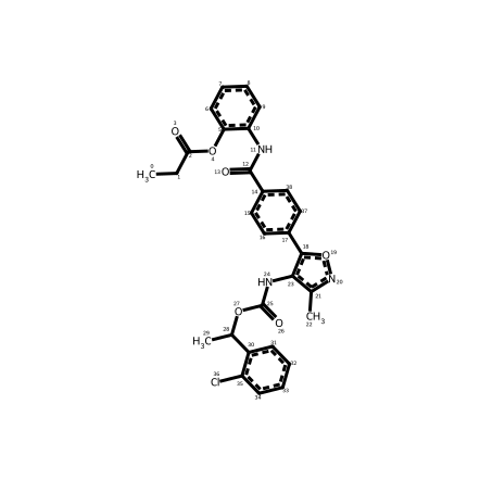 CCC(=O)Oc1ccccc1NC(=O)c1ccc(-c2onc(C)c2NC(=O)OC(C)c2ccccc2Cl)cc1